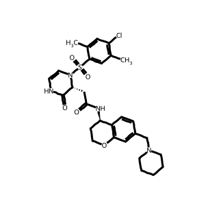 Cc1cc(S(=O)(=O)N2C=CNC(=O)[C@H]2CC(=O)N[C@@H]2CCOc3cc(CN4CCCCC4)ccc32)c(C)cc1Cl